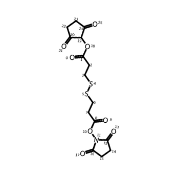 O=C(CCSSCCC(=O)ON1C(=O)CCC1=O)OC1C(=O)CCC1=O